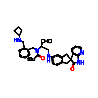 CC(C)(C)C(=O)N(Cc1ccccc1CNC1CCC1)C(C=O)CNc1ccc2c(c1)CC1(C2)C(=O)Nc2ncccc21